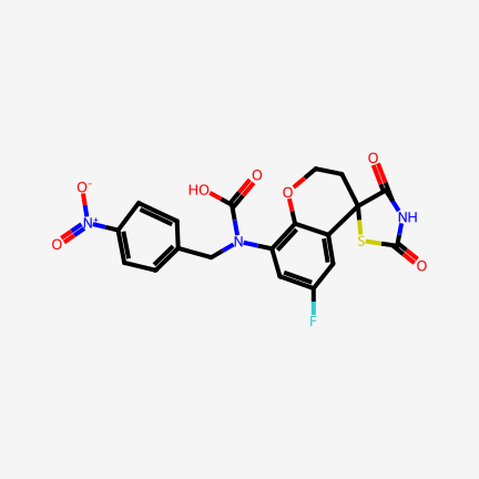 O=C1NC(=O)C2(CCOc3c(N(Cc4ccc([N+](=O)[O-])cc4)C(=O)O)cc(F)cc32)S1